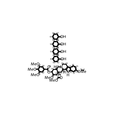 CC.COC(=O)[C@H]1[C@H]2C[C@@H]3c4[nH]c5cc(OC)ccc5c4CCN3C[C@H]2C[C@@H](OC(=O)c2cc(OC)c(OC)c(OC)c2)[C@@H]1OC.Oc1ccccc1.Oc1ccccc1.Oc1ccccc1.Oc1ccccc1